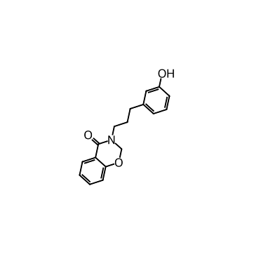 O=C1c2ccccc2OCN1CCCc1cccc(O)c1